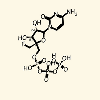 Nc1ccn(C2O[C@](CF)(COP(=O)(O)OP(=O)(O)OP(=O)(O)O)[C@@H](O)[C@@H]2O)c(=O)n1